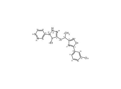 CCC1C(SC(C)c2noc(-c3cccc(Cl)c3)n2)=NNN1c1ccnnc1